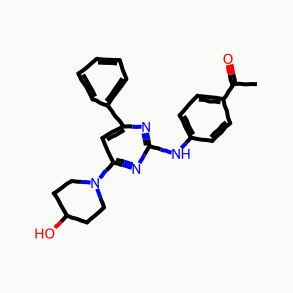 CC(=O)c1ccc(Nc2nc(-c3ccccc3)cc(N3CCC(O)CC3)n2)cc1